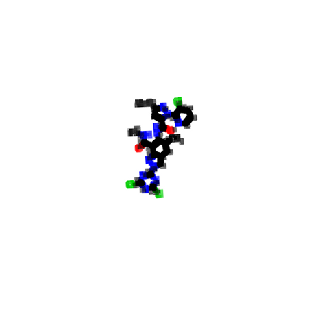 COc1cc(C(=O)Nc2c(C)cc3cn(-c4nc(Cl)nc(Cl)n4)nc3c2C(=O)NC(C)C)n(-c2ncccc2Cl)n1